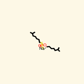 CC(C)CCCCCOP([O-])(=S)SCCCCCC(C)C.[Na+]